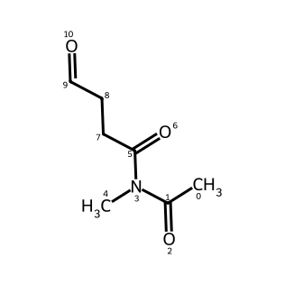 CC(=O)N(C)C(=O)CCC=O